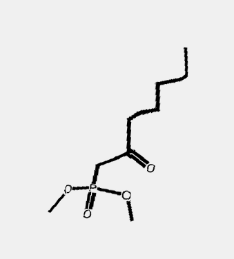 CCCCCC(=O)CP(=O)(OC)OC